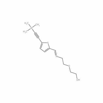 C[Si](C)(C)C#Cc1ccc(/C=N/CCOCCO)s1